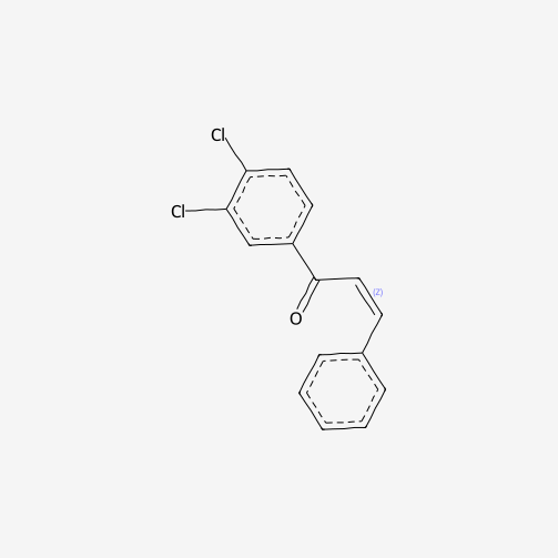 O=C(/C=C\c1ccccc1)c1ccc(Cl)c(Cl)c1